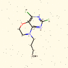 COCCCN1CCOc2c(Cl)nc(Cl)nc21